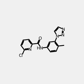 Cc1ccc(NC(=O)c2cccc(Cl)n2)cc1-n1ccnn1